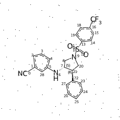 N#Cc1cccc(N[C@@H]2CN(S(=O)(=O)c3ccc(C(F)(F)F)cc3)C[C@H]2c2ccccc2)c1